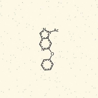 CC(=O)n1ncc2cnc(Oc3ccccc3)cc21